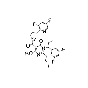 CCCCc1nc(O)c(C(=O)N2CCC(c3ncc(F)cc3F)C2)c(=O)n1C(CC)c1cc(F)cc(F)c1